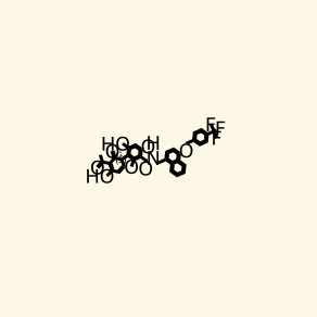 COc1cc(O)c2c(c1C(=O)NCc1ccc(OCc3ccc(C(F)(F)F)cc3)c3ccccc13)OC1=CC(O)=C(C(C)=O)C(=O)[C@]12C